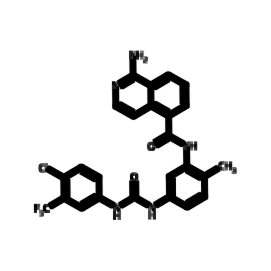 Cc1ccc(NC(=O)Nc2ccc(Cl)c(C(F)(F)F)c2)cc1NC(=O)c1cccc2c(N)nccc12